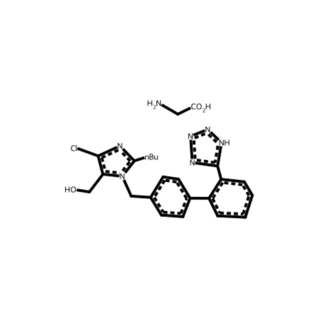 CCCCc1nc(Cl)c(CO)n1Cc1ccc(-c2ccccc2-c2nnn[nH]2)cc1.NCC(=O)O